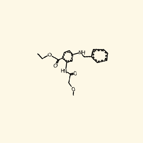 CCOC(=O)c1ccc(NCc2ccccc2)cc1NC(=O)COC